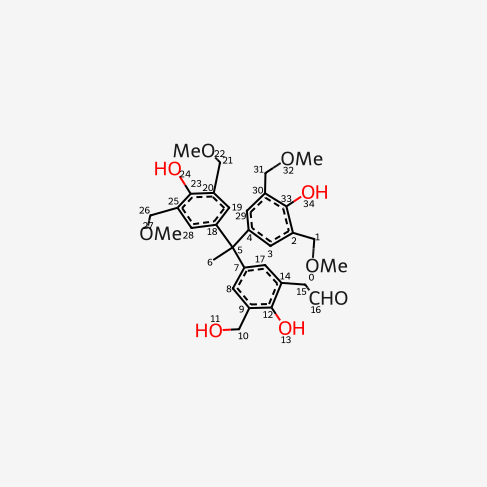 COCc1cc(C(C)(c2cc(CO)c(O)c(CC=O)c2)c2cc(COC)c(O)c(COC)c2)cc(COC)c1O